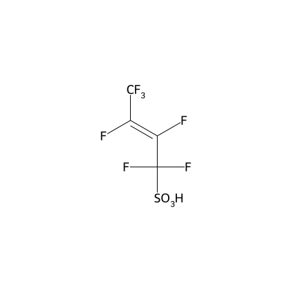 O=S(=O)(O)C(F)(F)C(F)=C(F)C(F)(F)F